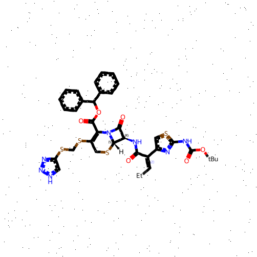 CC/C=C(\C(=O)N[C@@H]1C(=O)N2C(C(=O)OC(c3ccccc3)c3ccccc3)=C(SCSc3c[nH]nn3)CS[C@@H]12)c1csc(NC(=O)OC(C)(C)C)n1